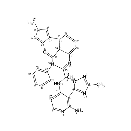 Cc1noc(-c2c(N)ncnc2NC(C)c2nc3cccc(-c4cnn(C)c4)c3c(=O)n2-c2ccccc2)n1